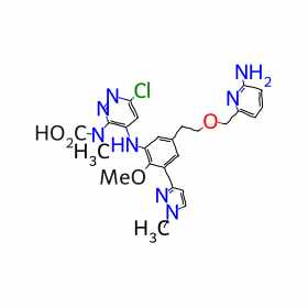 COc1c(Nc2cc(Cl)nnc2N(C)C(=O)O)cc(CCOCc2cccc(N)n2)cc1-c1ccn(C)n1